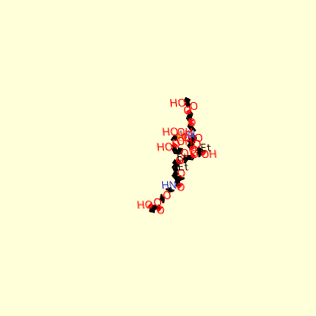 C=C(O)C(=O)OCCOCCNC(=O)C1COC(CC(C)(CC)OCC(COCC(O)(CC)C2OCC(C)(C(=O)NCCOCCOC(=O)C(=C)O)O2)OC(C)(CC)CC(O)OCC(O)P(=O)(O)O)C1